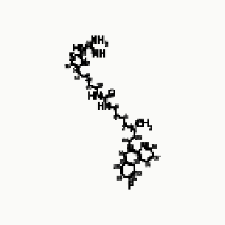 CN(CCCCNC(=O)NCCSCc1csc(NC(=N)N)n1)CCN(Cc1ccc(F)cc1)c1ccccn1